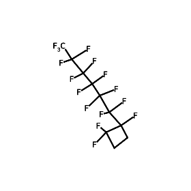 FC(F)(F)C(F)(F)C(F)(F)C(F)(F)C(F)(F)C(F)(F)C1(F)CCC1(F)F